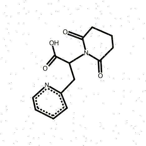 O=C(O)C(Cc1ccccn1)N1C(=O)CCCC1=O